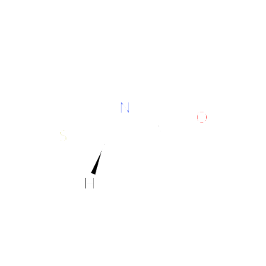 O=C1C[C@@H]2SC=CN12